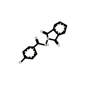 O=C(NN1C(=O)c2ccccc2C1=O)c1ccc(Cl)cc1